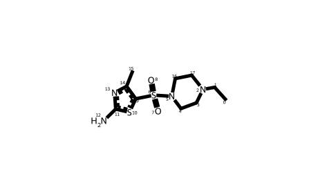 CCN1CCN(S(=O)(=O)c2sc(N)nc2C)CC1